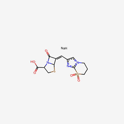 O=C(O)C1CSC2/C(=C\c3cn4c(n3)S(=O)(=O)CCC4)C(=O)N12.[NaH]